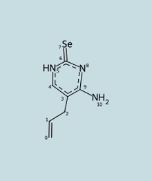 C=CCc1c[nH]c(=[Se])nc1N